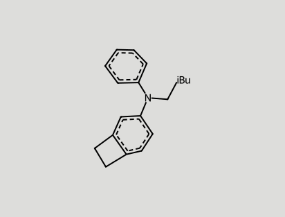 CCC(C)CN(c1ccccc1)c1ccc2c(c1)CC2